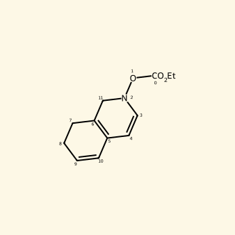 CCOC(=O)ON1C=CC2=C(CCC=C2)C1